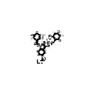 CCOc1ccc2c(c1)c(CNCc1ccccc1C(F)(F)F)cn2Cc1ccccc1